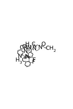 C=CC(=O)N1CCN(c2nc(=O)n(-c3c(C)ccnc3C(C)C)c3nc(-c4c(C)cccc4F)c(F)cc23)[C@@H](C)C1